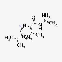 C=C(N)NC(=O)C(/N=C\C(C)C(C)C)=C(C)C